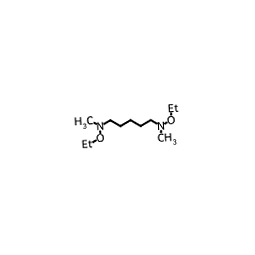 CCON(C)CCCCCN(C)OCC